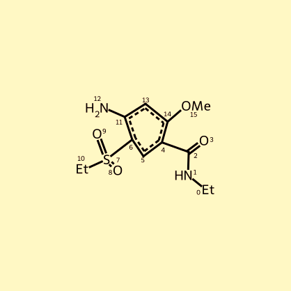 CCNC(=O)c1cc(S(=O)(=O)CC)c(N)cc1OC